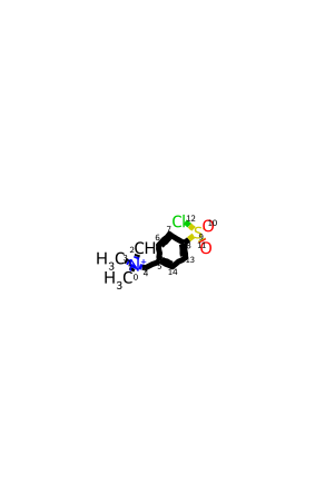 C[N+](C)(C)Cc1ccc(S(=O)(=O)Cl)cc1